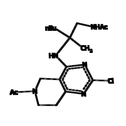 CCCCC(C)(CNC(C)=O)Nc1nc(Cl)nc2c1CN(C(C)=O)CC2